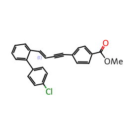 COC(=O)c1ccc(C#C/C=C/c2ccccc2-c2ccc(Cl)cc2)cc1